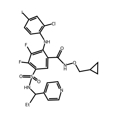 CCC(NS(=O)(=O)c1cc(C(=O)NOCC2CC2)c(Nc2ccc(I)cc2Cl)c(F)c1F)c1ccncc1